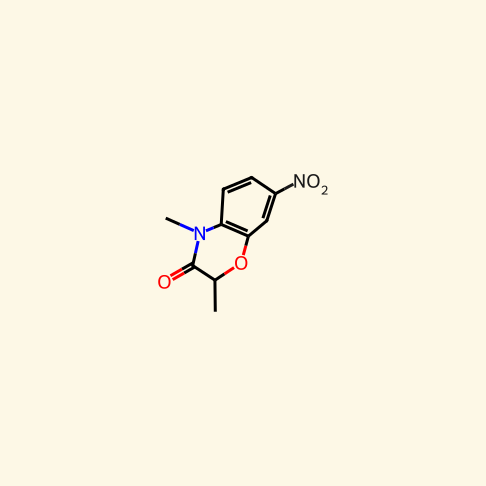 CC1Oc2cc([N+](=O)[O-])ccc2N(C)C1=O